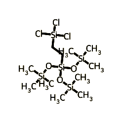 C[Si](C)(C)O[Si](CC[Si](Cl)(Cl)Cl)(O[Si](C)(C)C)O[Si](C)(C)C